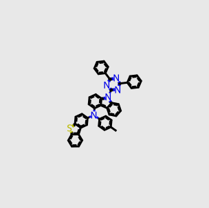 Cc1ccc(N(c2ccc3sc4ccccc4c3c2)c2cccc3c2c2ccccc2n3-c2nc(-c3ccccc3)nc(-c3ccccc3)n2)cc1